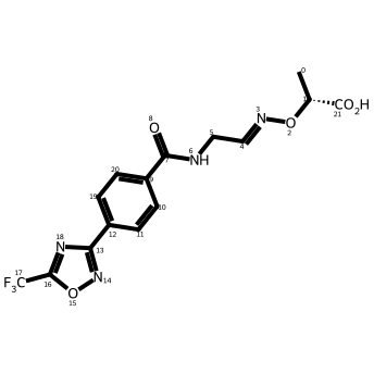 C[C@@H](ON=CCNC(=O)c1ccc(-c2noc(C(F)(F)F)n2)cc1)C(=O)O